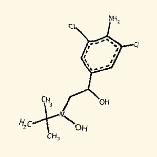 CC(C)(C)N(O)CC(O)c1cc(Cl)c(N)c(Cl)c1